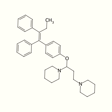 CCC(=C(c1ccccc1)c1ccc(OC(CCN2CCCCC2)N2CCCCC2)cc1)c1ccccc1